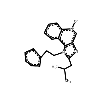 CC(C)Cc1nc2c[n+]([O-])c3ccccc3c2n1CCc1ccccc1